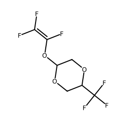 FC(F)=C(F)OC1COC(C(F)(F)F)CO1